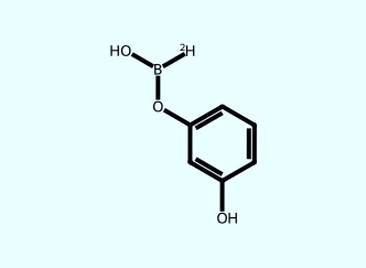 [2H]B(O)Oc1cccc(O)c1